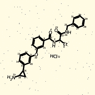 CCC(NC(=O)c1cccc(Oc2cccc(C3CC3N)c2)c1)C(=O)NCc1ccccc1.Cl